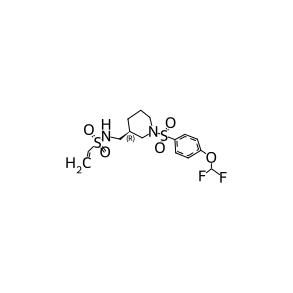 C=CS(=O)(=O)NC[C@H]1CCCN(S(=O)(=O)c2ccc(OC(F)F)cc2)C1